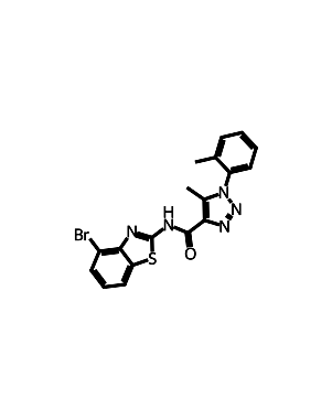 Cc1ccccc1-n1nnc(C(=O)Nc2nc3c(Br)cccc3s2)c1C